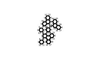 c1ccc(-c2cc(-c3ccccc3)c3c4ccccc4c4ccccc4c3c2-c2ccc(N(c3cc4ccccc4c4ccccc34)c3cc4ccccc4c4ccccc34)cc2)cc1